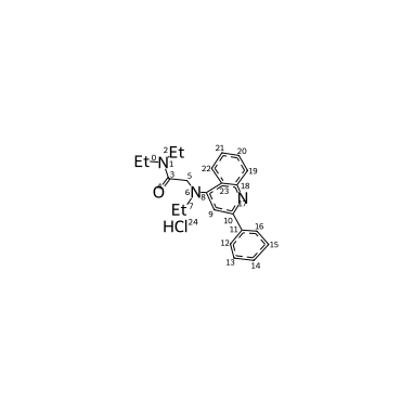 CCN(CC)C(=O)CN(CC)c1cc(-c2ccccc2)nc2ccccc12.Cl